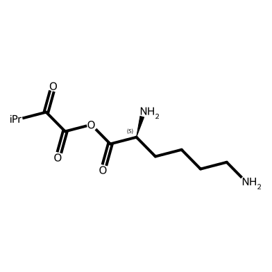 CC(C)C(=O)C(=O)OC(=O)[C@@H](N)CCCCN